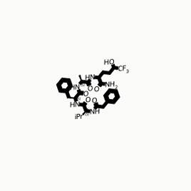 CC(C)[C@H](NC(=O)Cc1ccccc1)C(=O)N[C@@H](Cc1ccccc1)C(=O)N[C@@H](C)C(=O)NC(CCC(O)C(F)(F)F)C(N)=O